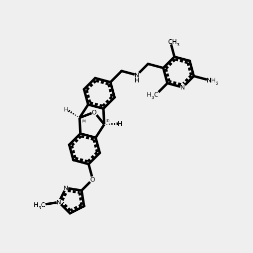 Cc1cc(N)nc(C)c1CNCc1ccc2c(c1)[C@@H]1O[C@H]2c2ccc(Oc3ccn(C)n3)cc21